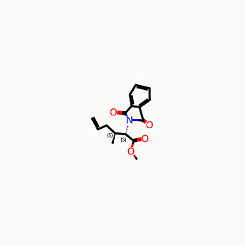 C=CC[C@H](C)[C@@H](C(=O)OC)N1C(=O)c2ccccc2C1=O